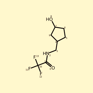 O=C(NCC1CCC(O)C1)C(F)(F)F